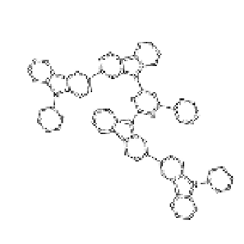 c1ccc(-c2cc(-n3c4ccccc4c4ccc(-c5ccc6c(c5)c5ccccc5n6-c5ccccc5)cc43)nc(-n3c4ccccc4c4ccc(-c5ccc6c(c5)c5ccccc5n6-c5ccccc5)cc43)n2)cc1